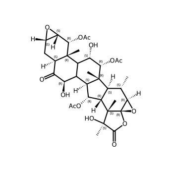 CC(=O)O[C@H]1[C@@H]2[C@H]([C@H](C)[C@H]3O[C@]34OC(=O)[C@@](C)(O)[C@]24C)[C@]2(C)[C@@H]1C1C([C@H](O)[C@@H]2OC(C)=O)[C@]2(C)[C@H](C[C@@H]3O[C@@H]3[C@@H]2OC(C)=O)C(=O)[C@@H]1O